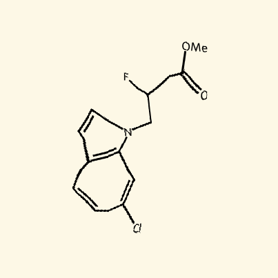 COC(=O)C(F)Cn1ccc2ccc(Cl)cc21